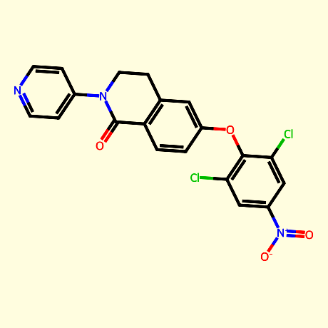 O=C1c2ccc(Oc3c(Cl)cc([N+](=O)[O-])cc3Cl)cc2CCN1c1ccncc1